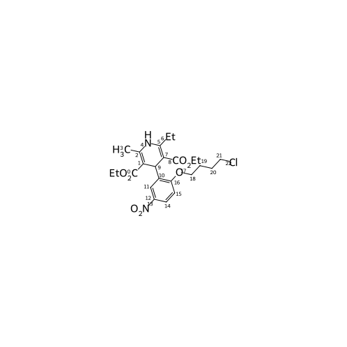 CCOC(=O)C1=C(C)NC(CC)=C(C(=O)OCC)C1c1cc([N+](=O)[O-])ccc1OCCCCCl